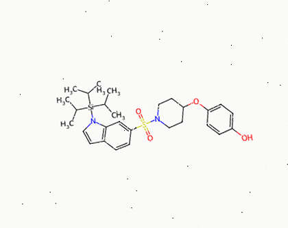 CC(C)[Si](C(C)C)(C(C)C)n1ccc2ccc(S(=O)(=O)N3CCC(Oc4ccc(O)cc4)CC3)cc21